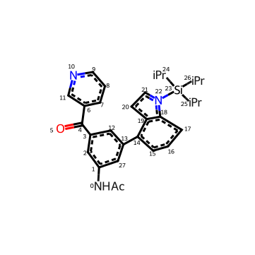 CC(=O)Nc1cc(C(=O)c2cccnc2)cc(-c2cccc3c2ccn3[Si](C(C)C)(C(C)C)C(C)C)c1